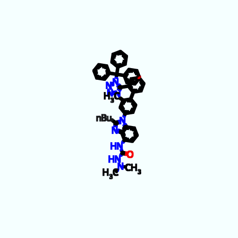 CCCCc1nc2c(NC(=O)NN(C)C)cccc2n1-c1ccc(-c2ccccc2-c2nnnn2C(c2ccccc2)(c2ccccc2)c2ccccc2)c(C)c1